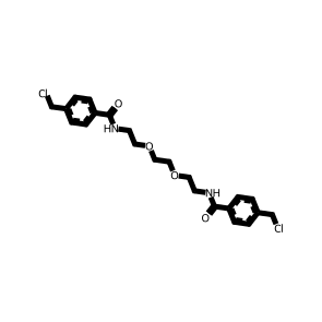 O=C(NCCOCCOCCNC(=O)c1ccc(CCl)cc1)c1ccc(CCl)cc1